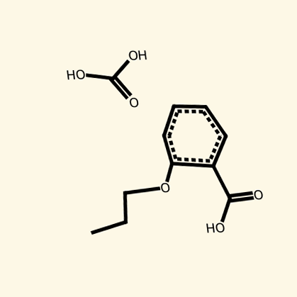 CCCOc1ccccc1C(=O)O.O=C(O)O